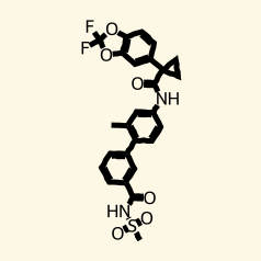 Cc1cc(NC(=O)C2(c3ccc4c(c3)OC(F)(F)O4)CC2)ccc1-c1cccc(C(=O)NS(C)(=O)=O)c1